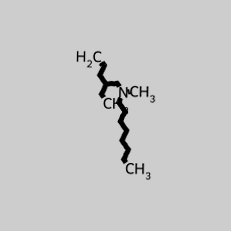 C=CCC(CC)CN(C)CCCCCCCC